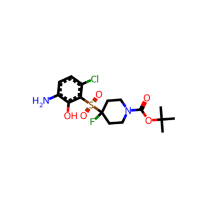 CC(C)(C)OC(=O)N1CCC(F)(S(=O)(=O)c2c(Cl)ccc(N)c2O)CC1